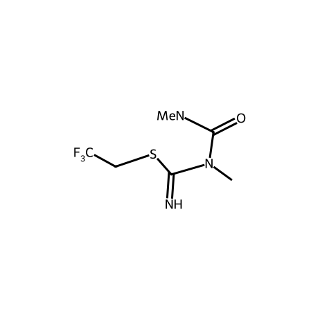 CNC(=O)N(C)C(=N)SCC(F)(F)F